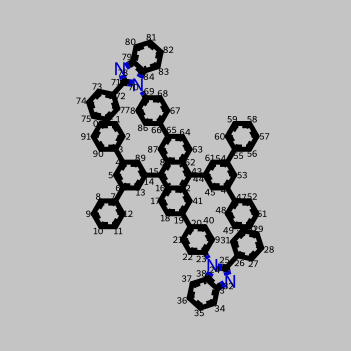 c1ccc(-c2cc(-c3ccccc3)cc(-c3c4ccc(-c5ccc(-n6c(-c7ccccc7)nc7ccccc76)cc5)cc4c(-c4cc(-c5ccccc5)cc(-c5ccccc5)c4)c4ccc(-c5ccc(-n6c(-c7ccccc7)nc7ccccc76)cc5)cc34)c2)cc1